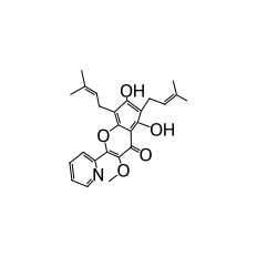 COc1c(-c2ccccn2)oc2c(CC=C(C)C)c(O)c(CC=C(C)C)c(O)c2c1=O